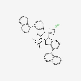 CC(C)CC1=Cc2c(-c3cccc4ccccc34)cccc2[CH]1[Ti+2]1([CH]2C(CC(C)C)=Cc3c(-c4cccc5ccccc45)cccc32)[CH2]C[CH2]1.[Cl-].[Cl-]